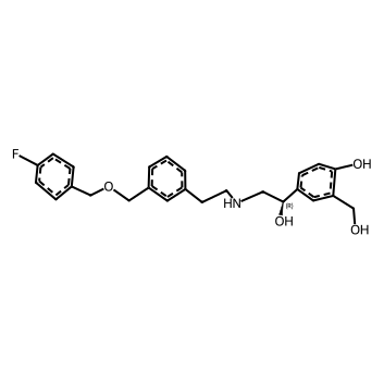 OCc1cc([C@@H](O)CNCCc2cccc(COCc3ccc(F)cc3)c2)ccc1O